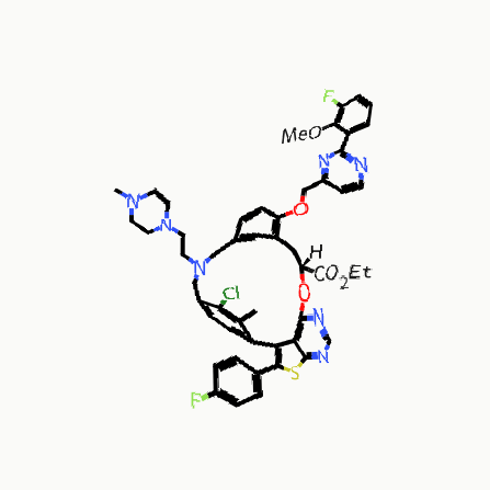 CCOC(=O)[C@H]1Cc2cc(ccc2OCc2ccnc(-c3cccc(F)c3OC)n2)CN(CCN2CCN(C)CC2)Cc2ccc(c(C)c2Cl)-c2c(-c3ccc(F)cc3)sc3ncnc(c23)O1